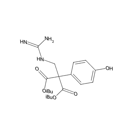 CC(C)COC(=O)C(CNC(=N)N)(C(=O)OCC(C)C)c1ccc(O)cc1